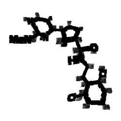 CNc1nccc(-c2ccc(C(=O)NCCc3c(Cl)cccc3Cl)s2)n1